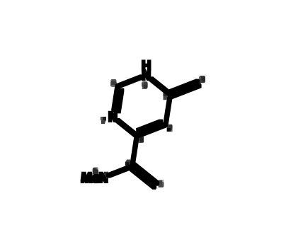 C=C1C=C(C(=C)NC)N=CN1